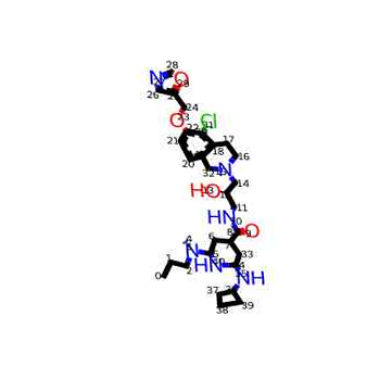 CCCN(C)C1CC(C(=O)NC[C@H](O)CN2CCc3c(ccc(OCc4cnco4)c3Cl)C2)CC(NC2CCC2)N1